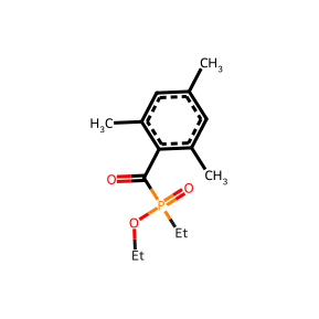 CCOP(=O)(CC)C(=O)c1c(C)cc(C)cc1C